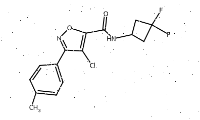 Cc1ccc(-c2noc(C(=O)NC3CC(F)(F)C3)c2Cl)cc1